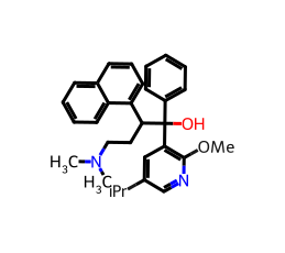 COc1ncc(C(C)C)cc1C(O)(c1ccccc1)C(CCN(C)C)c1cccc2ccccc12